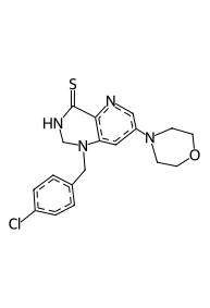 S=C1NCN(Cc2ccc(Cl)cc2)c2cc(N3CCOCC3)cnc21